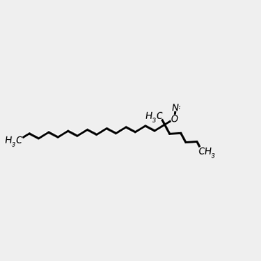 CCCCCCCCCCCCCCCC(C)(CCCCC)O[N]